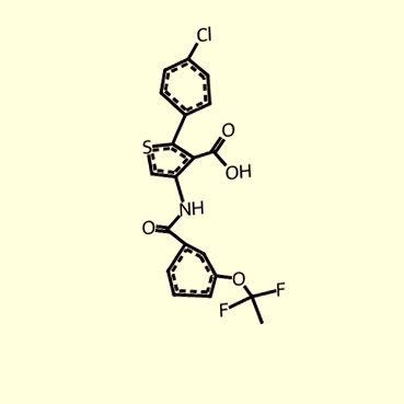 CC(F)(F)Oc1cccc(C(=O)Nc2csc(-c3ccc(Cl)cc3)c2C(=O)O)c1